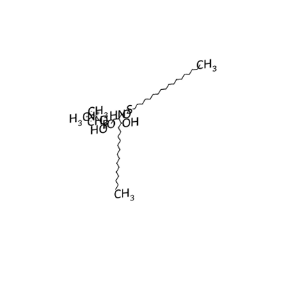 CCCCCCCCCCCCCCCCCCSONC(COP(O)OCC[N+](C)(C)C)C(O)CCCCCCCCCCCCCCCC